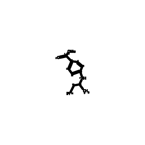 COC(=O)c1ccc(NC(C)CC(C)C)cc1